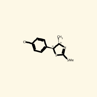 CSC1=N[C@@H](C)[C@H](c2ccc(Cl)cc2)S1